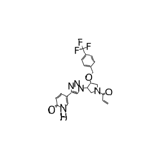 C=CC(=O)N1CC(OCc2ccc(C(F)(F)F)cc2)C(n2cc(-c3ccc(=O)[nH]c3)nn2)C1